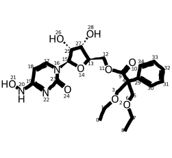 CCOCC(COCC)(C(=O)OC[C@H]1O[C@@H](n2ccc(NO)nc2=O)[C@H](O)[C@@H]1O)c1ccccc1